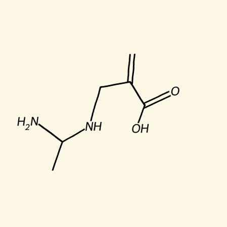 C=C(CNC(C)N)C(=O)O